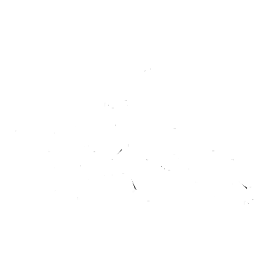 CCc1cccc(-c2c(Cl)cccc2[C@](O)(CCCNC(=O)OC)[C@@H]2CCCN(C(=O)[C@H]3CC[C@H](CNC)CC3)C2)c1